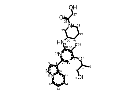 CC(CO)Oc1nc(-c2cnn3ccccc23)nc(N[C@@H]2CCCN(C(=O)CO)C2)c1F